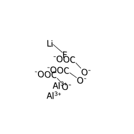 O=C([O-])[O-].O=C([O-])[O-].O=C([O-])[O-].[Al+3].[Al+3].[Li][F]